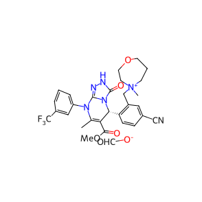 COC(=O)C1=C(C)N(c2cccc(C(F)(F)F)c2)c2n[nH]c(=O)n2[C@@H]1c1ccc(C#N)cc1C[N+]1(C)CCCOCC1.O=C[O-]